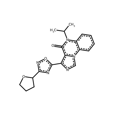 CC(C)n1c(=O)c2c(-c3nc(C4CCCO4)no3)ncn2c2ccccc21